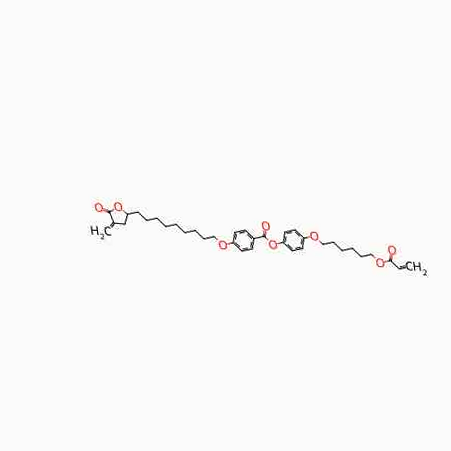 C=CC(=O)OCCCCCCOc1ccc(OC(=O)c2ccc(OCCCCCCCCCC3CC(=C)C(=O)O3)cc2)cc1